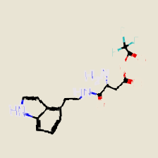 N[C@@H](CC(=O)OC(=O)C(F)(F)F)C(=O)NCCc1cccc2[nH]ccc12